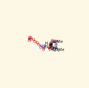 COc1cc2cc(c1Cl)N(C)C(=O)C[C@H](OC(=O)[C@H](C)OCCCSC1CC(=O)N(CCC(=O)NCCOCCOCCOCCOCCC(=O)ON3C(=O)CCC3=O)C1=O)[C@]1(C)O[C@H]1[C@H](C)C1C[C@@](O)(NC(=O)O1)[C@H](OC)/C=C/C=C(\C)C2